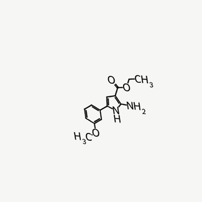 CCOC(=O)c1cc(-c2cccc(OC)c2)[nH]c1N